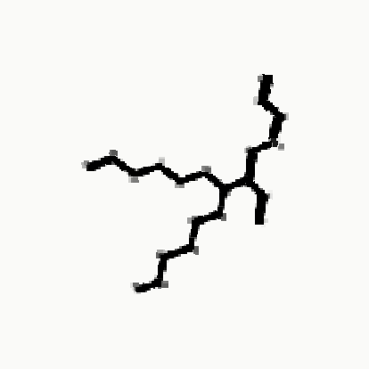 C=C/C=N\C=C(/C=C)C(CCCCCC)CCCCCC